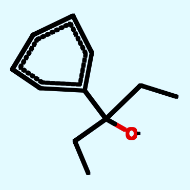 CCC([O])(CC)c1ccccc1